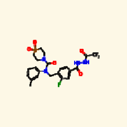 Cc1cccc(N(Cc2ccc(C(=O)NNC(=O)C(F)(F)F)cc2F)C(=O)N2CCS(=O)(=O)CC2)c1